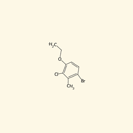 [CH2]COc1ccc(Br)c(C)c1Cl